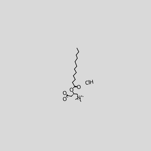 CCCCCCCCCCCC(=O)O[C@H](CC(=O)[O-])C[N+](C)(C)C.Cl